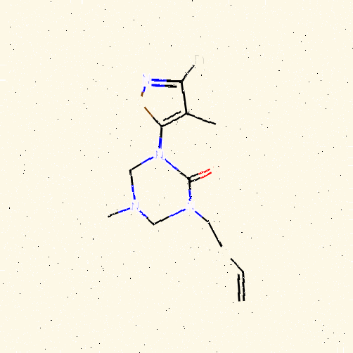 C=CCCN1CN(C)CN(c2snc(CC)c2C)C1=O